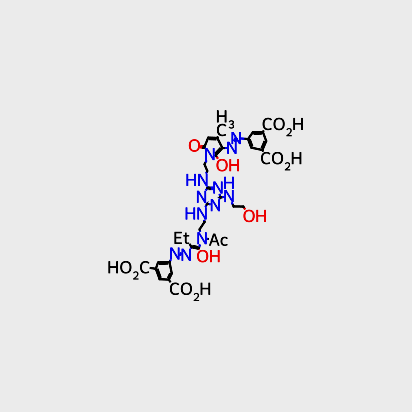 CC/C(N=Nc1cc(C(=O)O)cc(C(=O)O)c1)=C(/O)N(CCNc1nc(NCCO)nc(NCCn2c(O)c(N=Nc3cc(C(=O)O)cc(C(=O)O)c3)c(C)cc2=O)n1)C(C)=O